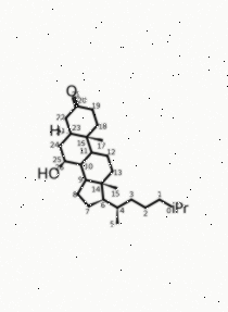 CC(C)CCC[C@@H](C)[C@H]1CCC2C3C(CC[C@@]21C)[C@@]1(C)CCC(=O)C[C@@H]1C[C@@H]3O